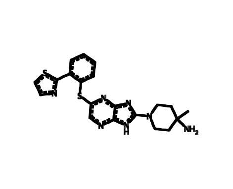 CC1(N)CCN(c2nc3nc(Sc4ccccc4-c4nccs4)cnc3[nH]2)CC1